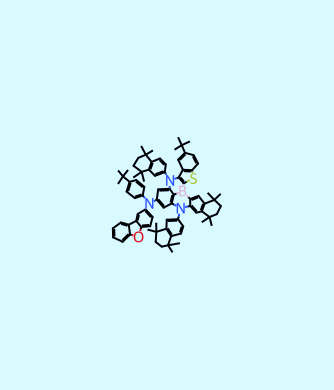 CC(C)(C)c1ccc(N(c2cc3c4c(c2)N(c2ccc5c(c2)C(C)(C)CCC5(C)C)c2c(sc5ccc(C(C)(C)C)cc25)B4c2cc4c(cc2N3c2ccc3c(c2)C(C)(C)CCC3(C)C)C(C)(C)CCC4(C)C)c2ccc3oc4ccccc4c3c2)cc1